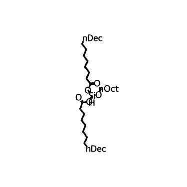 CCCCCCCCCCCCCCCCCC(=O)O[SiH](OCCCCCCCC)OC(=O)CCCCCCCCCCCCCCCCC